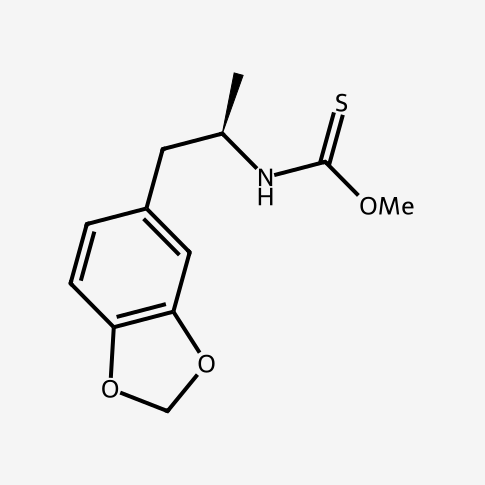 COC(=S)N[C@H](C)Cc1ccc2c(c1)OCO2